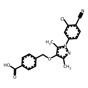 Cc1nn(-c2ccc(C#N)c(Cl)c2)c(C)c1OCc1ccc(C(=O)O)cc1